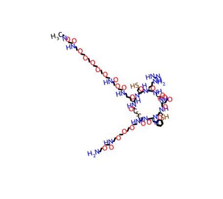 C/C=N/OCC(=O)NCCOCCOCCOCCOCCOCCNC(=O)COCC(=O)NCCCC[C@@H]1NC(=O)CSCC(C(=O)NCCOCCOCCOCCNC(=O)COCCN)NC(=O)[C@H](Cc2ccccc2)NC(=O)[C@H](CS)NC(=O)[C@H](CC(=O)O)NC(=O)CNC(=O)[C@H](CCCNC(=N)N)NC(=O)[C@H](CCS)NC1=O